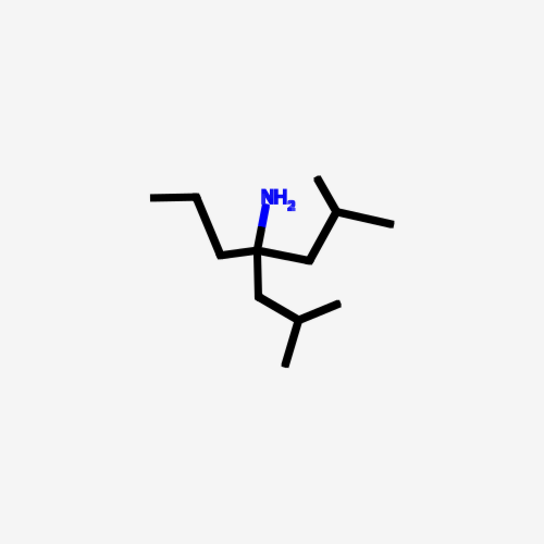 CCCC(N)(CC(C)C)CC(C)C